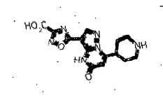 O=C(O)c1noc(-c2cnn3c(C4CCNCC4)cc(=O)[nH]c23)n1